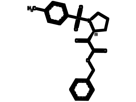 Cc1ccc(S(=O)(=O)N2CCC[C@H]2C(=O)C(=O)OCc2ccccc2)cc1